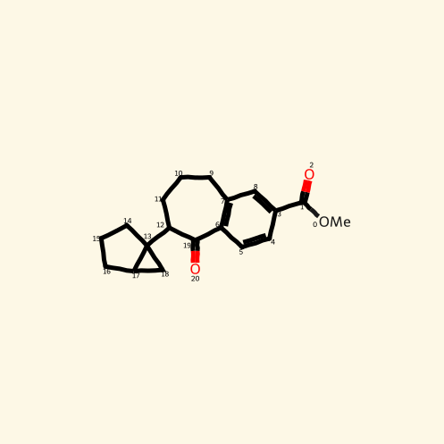 COC(=O)c1ccc2c(c1)CCCC(C13CCCC1C3)C2=O